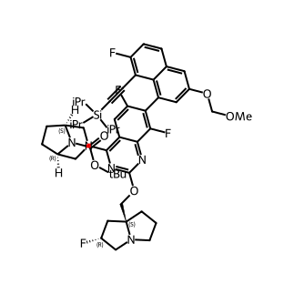 COCOc1cc(-c2c(F)cc3c(N4C[C@H]5CC[C@@H](C4)N5C(=O)OC(C)(C)C)nc(OC[C@@]45CCCN4C[C@H](F)C5)nc3c2F)c2c(C#C[Si](C(C)C)(C(C)C)C(C)C)c(F)ccc2c1